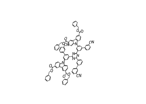 N#Cc1cccc(-c2cccc(-c3nc(-c4cc(-c5cccc(C#N)c5)cc(-n5c6ccc(C(=O)OCc7ccccc7)cc6c6cc(C(=O)OCc7ccccc7)ccc65)c4)nc(-c4cc(-c5cccc(C#N)c5)cc(-n5c6ccc(C(=O)OCc7ccccc7)cc6c6cc(C(=O)OCc7ccccc7)ccc65)c4)n3)c2)c1